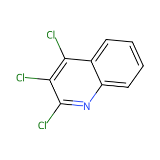 Clc1nc2ccccc2c(Cl)c1Cl